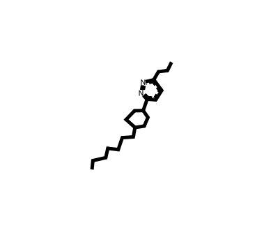 CCCCCCCC1CCC(c2ccc(CCC)nn2)CC1